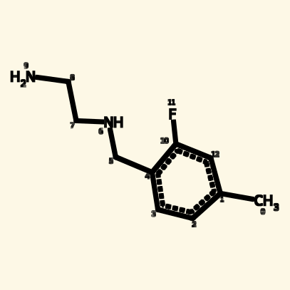 Cc1ccc(CNCCN)c(F)c1